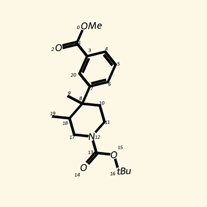 COC(=O)c1cccc(C2(C)CCN(C(=O)OC(C)(C)C)CC2C)c1